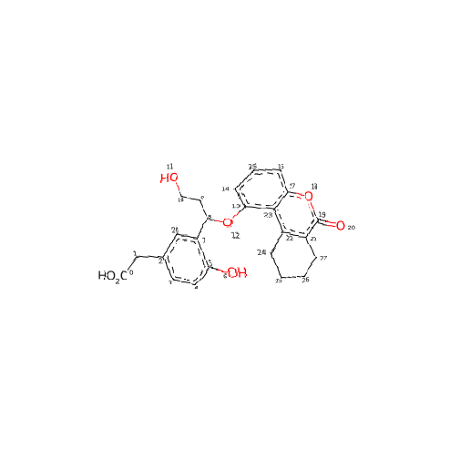 O=C(O)Cc1ccc(O)c(C(CCO)Oc2cccc3oc(=O)c4c(c23)CCCC4)c1